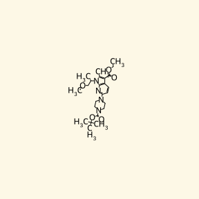 CCOC(=O)c1c(C)n(C(C)COC)c2nc(N3CCN(C(=O)OC(C)(C)C)CC3)ccc12